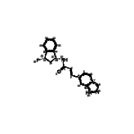 O=C(C=Cc1ccc2cn[nH]c2c1)N[C@@H]1C[C@H](F)c2ccccc21